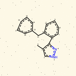 Cc1c[nH]nc1-c1ccccc1Cc1ccccc1